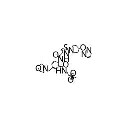 CS(=O)(=O)CCNC(=O)c1cc(CN2CCOCC2)ccc1NC(=O)c1csc(N2CCC(Oc3ncccn3)CC2)n1